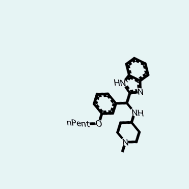 CCCCCOc1cccc(C(NC2CCN(C)CC2)c2nc3ccccc3[nH]2)c1